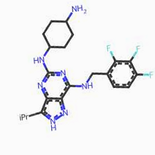 CC(C)c1[nH]nc2c(NCc3ccc(F)c(F)c3F)nc(NC3CCC(N)CC3)nc12